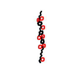 C=CC(=O)CCCCCCC(=O)Oc1ccc(C(=O)Oc2ccc(CC(=O)c3ccc(OC(=O)CCCC)cc3)cc2C)cc1